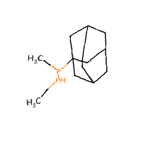 CPP(C)C12CC3CC(CC(C3)C1)C2